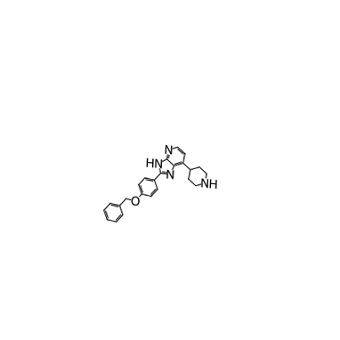 c1ccc(COc2ccc(-c3nc4c(C5CCNCC5)ccnc4[nH]3)cc2)cc1